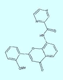 COc1ccccc1-c1cc(=O)c2cccc(NC(=O)c3cnccn3)c2o1